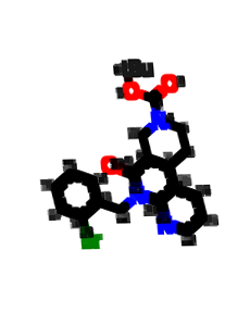 CC(C)(C)OC(=O)N1CCc2c(c(=O)n(Cc3ccccc3Br)c3ncccc23)C1